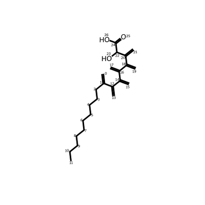 C=C(CCCCCCCCCC)C(=C)C(=C)C(=C)C(=C)C(=C)C(O)C(=O)O